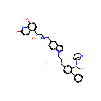 F.F.O=C(O)N(c1cc(CCCn2ccc3cc(CNC[C@H](O)c4ccc(O)c5[nH]c(=O)ccc45)ccc32)ccc1-c1ccccc1)C1CN2CCC1CC2